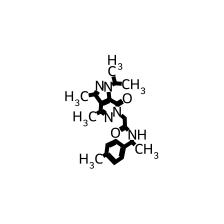 Cc1ccc(C(C)NC(=O)Cn2nc(C)c3c(C)nn(C(C)C)c3c2=O)cc1